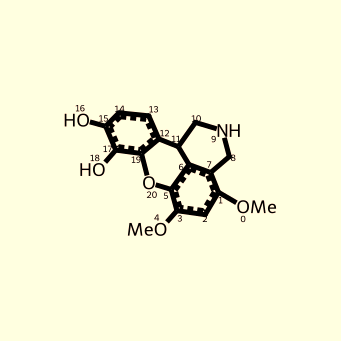 COc1cc(OC)c2c3c1CNCC3c1ccc(O)c(O)c1O2